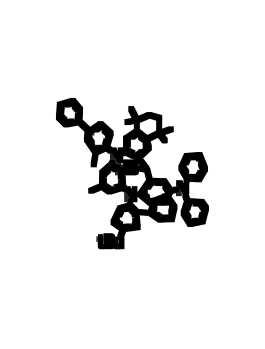 Cc1cc2c3c(c1)N(c1ccc(C(C)(C)C)cc1-c1ccccc1)c1ccc(N(c4ccccc4)c4ccccc4)cc1C(B3)c1cc3c(cc1N2c1ccc(-c2ccccc2)cc1C)C(C)(C)CCC3(C)C